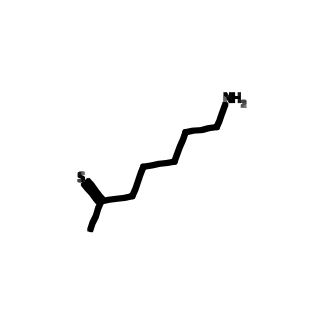 CC(=S)CCCCCN